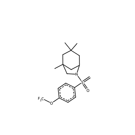 C=S(=O)(c1ccc(OC(F)(F)F)cc1)N1CC2(C)CC1CC(C)(C)C2